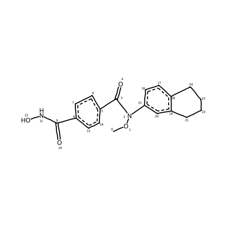 CON(C(=O)c1ccc(C(=O)NO)cc1)c1ccc2c(c1)CCCC2